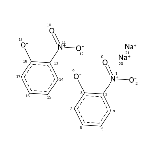 O=[N+]([O-])c1ccccc1[O-].O=[N+]([O-])c1ccccc1[O-].[Na+].[Na+]